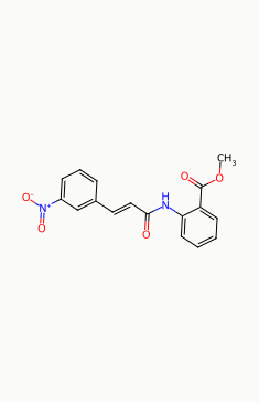 COC(=O)c1ccccc1NC(=O)/C=C/c1cccc([N+](=O)[O-])c1